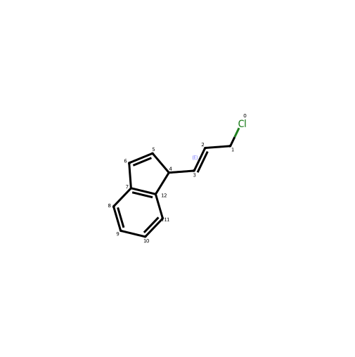 ClC/C=C/C1C=Cc2ccc[c]c21